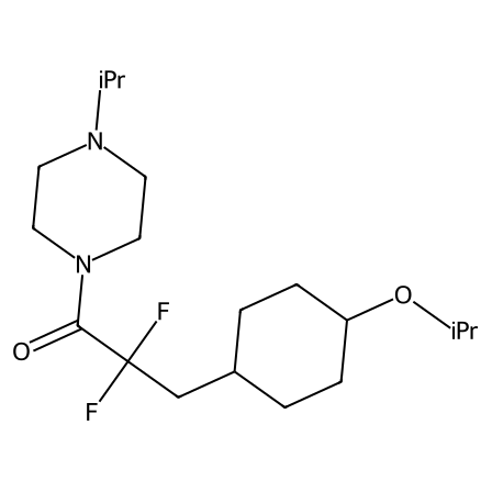 CC(C)OC1CCC(CC(F)(F)C(=O)N2CCN(C(C)C)CC2)CC1